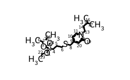 CCO[Si](CCCSCc1ccn(CCC(C)C)c(=O)c1)(OCC)OCC